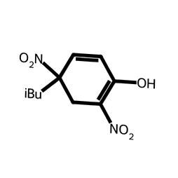 CCC(C)C1([N+](=O)[O-])C=CC(O)=C([N+](=O)[O-])C1